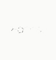 CC(=O)n1ccc(CCO[Si](C)(C)C(C)(C)C)n1